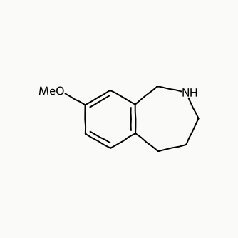 COc1ccc2c(c1)CNCCC2